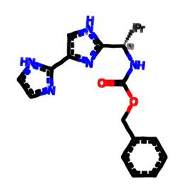 CC(C)[C@H](NC(=O)OCc1ccccc1)c1nc(-c2ncc[nH]2)c[nH]1